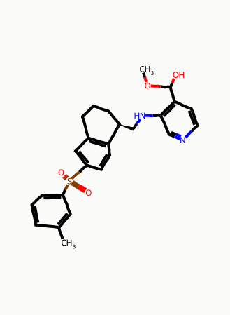 COC(O)c1ccncc1NC[C@@H]1CCCc2cc(S(=O)(=O)c3cccc(C)c3)ccc21